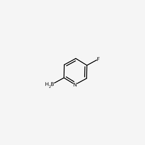 Bc1ccc(F)cn1